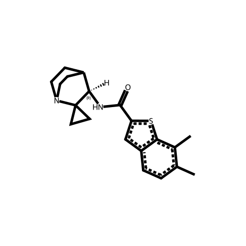 Cc1ccc2cc(C(=O)N[C@@H]3C4CCN(CC4)C34CC4)sc2c1C